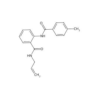 C=CCNC(=O)c1ccccc1NC(=O)c1ccc(C)cc1